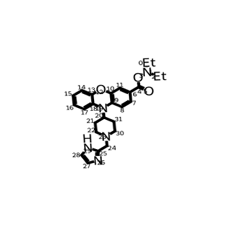 CCN(CC)OC(=O)c1ccc2c(c1)Oc1ccccc1N2C1CCN(Cc2ncc[nH]2)CC1